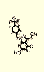 O=c1[nH]c(O)nc2c1c(CO)nn2Cc1ccc(C(F)(F)F)cc1